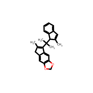 CC1=Cc2ccccc2C1C(C)(C)C1=C(C)Cc2cc3c(cc21)OCO3